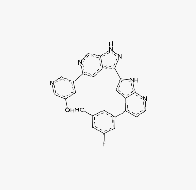 Oc1cncc(-c2cc3c(-c4cc5c(-c6cc(O)cc(F)c6)ccnc5[nH]4)n[nH]c3cn2)c1